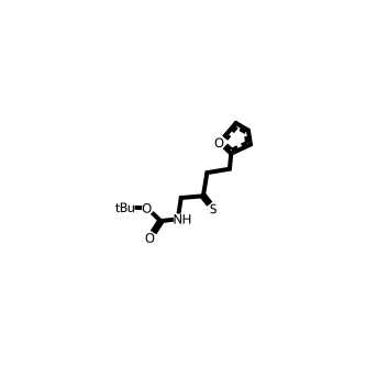 CC(C)(C)OC(=O)NCC(=S)CCc1ccco1